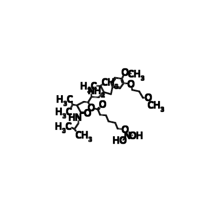 COCCCOc1cc(CC(CC(N)C(CC(C(=O)NCC(C)C)C(C)C)OC(=O)CCCCCON(O)O)C(C)C)ccc1OC